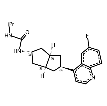 CC(C)NC(=O)N[C@H]1C[C@@H]2C[C@H](c3ccnc4ccc(F)cc34)C[C@@H]2C1